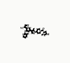 Cc1c(-c2cc(Sc3ncccc3F)c3c(C#N)cnn3c2)cnn1C1CCN(C(=O)[C@@H]2C[C@@H](F)CN2C)CC1